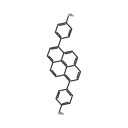 CCCCc1ccc(-c2ccc3ccc4c(-c5ccc(CCCC)cc5)ccc5ccc2c3c54)cc1